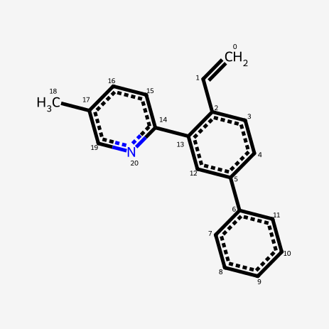 C=Cc1ccc(-c2ccccc2)cc1-c1ccc(C)cn1